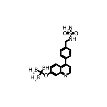 BC(B)(B)Oc1ccc2c(-c3ccc(CNS(N)(=O)=O)cc3)ccnc2c1